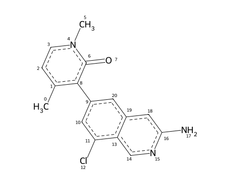 Cc1ccn(C)c(=O)c1-c1cc(Cl)c2cnc(N)cc2c1